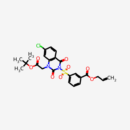 C=CCOC(=O)c1cccc(S(=O)(=O)n2c(=O)c3ccc(Cl)cc3n(CC(=O)OC(C)(C)C)c2=O)c1